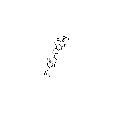 CCCC1CC[C@@H]2CC(c3ccc4c(F)c(C(=O)OC)c(F)cc4c3)CC[C@H]2C1